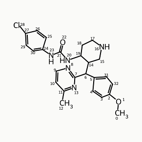 COc1ccc(C(c2nccc(C)n2)C2CNCCC2NC(=O)Nc2ccc(Cl)cc2)cc1